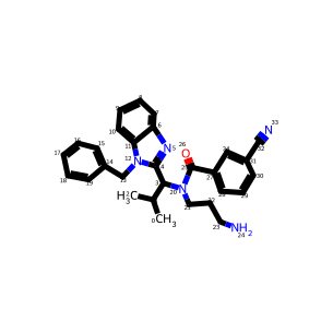 CC(C)C(c1nc2ccccc2n1Cc1ccccc1)N(CCCN)C(=O)c1cccc(C#N)c1